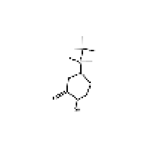 CC(C)(C)[Si](C)(C)C1CCC(O)C(=O)C1